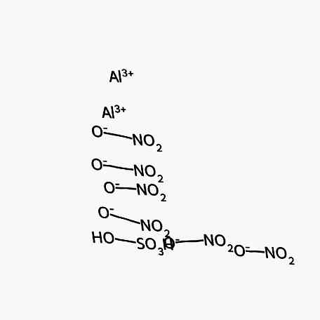 O=S(=O)(O)O.O=[N+]([O-])[O-].O=[N+]([O-])[O-].O=[N+]([O-])[O-].O=[N+]([O-])[O-].O=[N+]([O-])[O-].O=[N+]([O-])[O-].[Al+3].[Al+3]